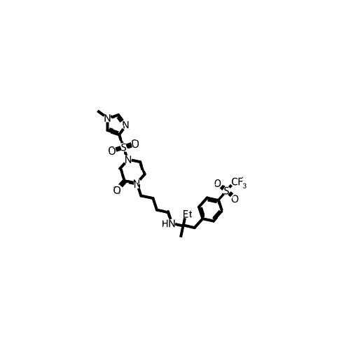 CCC(C)(Cc1ccc(S(=O)(=O)C(F)(F)F)cc1)NCCCCN1CCN(S(=O)(=O)c2cn(C)cn2)CC1=O